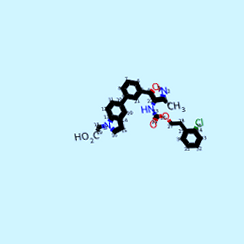 Cc1noc(-c2cccc(-c3ccc4c(ccn4CC(=O)O)c3)c2)c1NC(=O)OCCc1ccccc1Cl